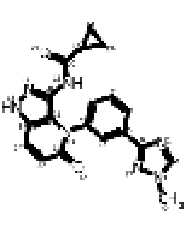 Cn1cnc(-c2cccc(-n3c(=O)ccc4[nH]nc(NC(=O)C5CC5)c43)c2)n1